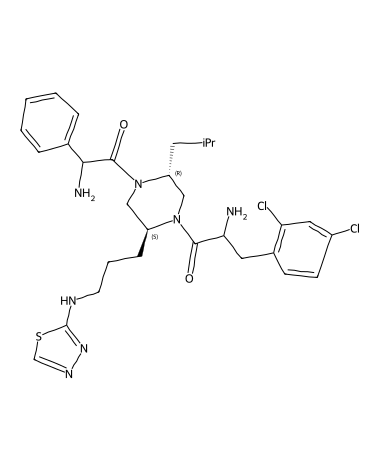 CC(C)C[C@@H]1CN(C(=O)C(N)Cc2ccc(Cl)cc2Cl)[C@@H](CCCNc2nncs2)CN1C(=O)C(N)c1ccccc1